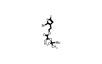 CCCCC(C)(C)OC(=O)C(=O)OCCc1cc(I)sc1Br